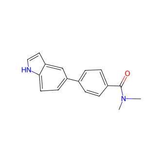 CN(C)C(=O)c1ccc(-c2ccc3[nH]ccc3c2)cc1